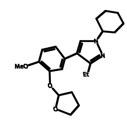 CCc1nn(C2CCCCC2)cc1-c1ccc(OC)c(OC2CCCO2)c1